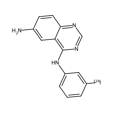 Nc1ccc2ncnc(Nc3cccc([124I])c3)c2c1